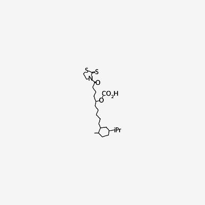 CC(C)C1CCC(C)C(CCCCCC(CCCC(=O)N2CCSC2=S)OC(=O)O)C1